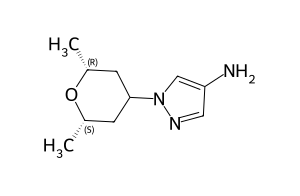 C[C@@H]1CC(n2cc(N)cn2)C[C@H](C)O1